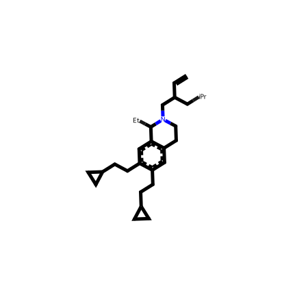 C=CC(CC(C)C)CN1CCc2cc(CCC3CC3)c(CCC3CC3)cc2C1CC